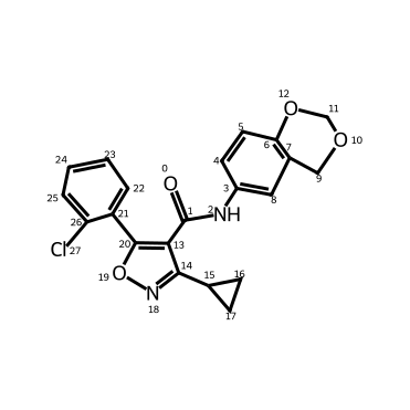 O=C(Nc1ccc2c(c1)COCO2)c1c(C2CC2)noc1-c1ccccc1Cl